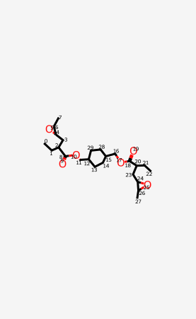 CCC(CC1OC1C)C(=O)OCC1CCC(COC(=O)C(CC)CC2OC2C)CC1